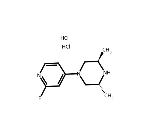 C[C@@H]1CN(c2ccnc(F)c2)C[C@@H](C)N1.Cl.Cl